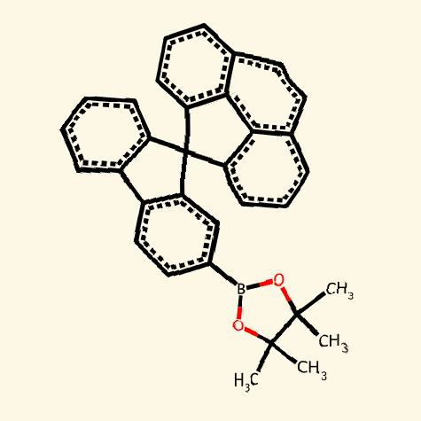 CC1(C)OB(c2ccc3c(c2)C2(c4ccccc4-3)c3cccc4ccc5cccc2c5c34)OC1(C)C